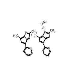 CC1=PC2=C(C)C=C(c3ccccn3)C2=C1.CC1=PC2=C(C)C=C(c3ccccn3)C2=C1.[Cl-].[Cl-].[Zr+2]